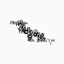 COC(=O)N[C@H](C(=O)N1CCC[C@H]1c1nc2c(Cl)c([C@H]3CC[C@H](c4ccc5[nH]c([C@@H]6CCCN6C(=O)[C@H](C(C)C)N(C)C(=O)O)nc5c4Cl)N3c3ccc(C(C)(C)C)cc3)ccc2[nH]1)C(C)C